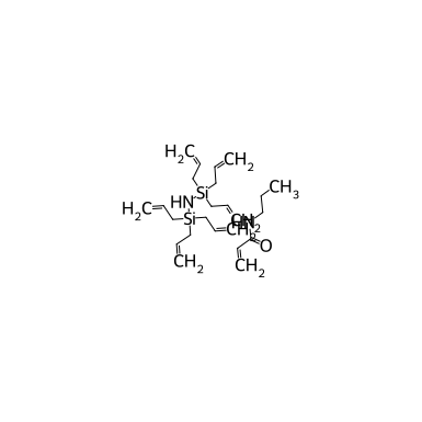 C=CC(=O)NCCC.C=CC[Si](CC=C)(CC=C)N[Si](CC=C)(CC=C)CC=C